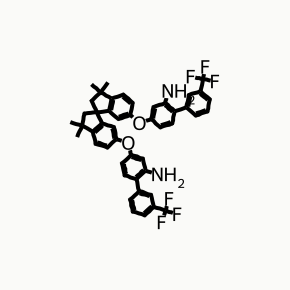 CC1(C)CC2(CC(C)(C)c3ccc(Oc4ccc(-c5cccc(C(F)(F)F)c5)c(N)c4)cc32)c2cc(Oc3ccc(-c4cccc(C(F)(F)F)c4)c(N)c3)ccc21